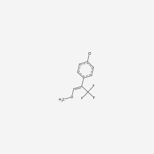 COC=C(c1ccc(Cl)cc1)C(F)(F)F